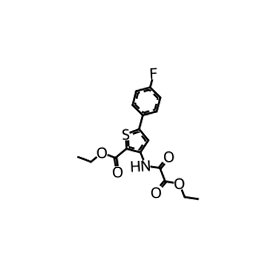 CCOC(=O)C(=O)Nc1cc(-c2ccc(F)cc2)sc1C(=O)OCC